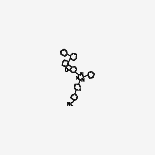 N#Cc1ccc(-c2ccc(-c3nc(-c4ccccc4)nc(-c4ccc5c(c4)oc4cccc(-c6ccccc6-c6ccccc6)c45)n3)cc2)cc1